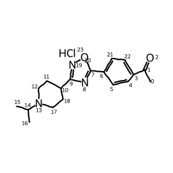 CC(=O)c1ccc(-c2nc(C3CCN(C(C)C)CC3)no2)cc1.Cl